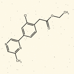 CCOC(=O)Cc1ccc(-c2cncc(C)n2)cc1Cl